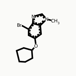 Cn1cnc2c(Br)cc(O[C]3CCCCC3)cc21